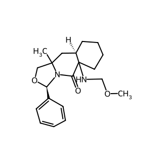 COCNC12CCCC[C@@H]1CC1(C)CO[C@H](c3ccccc3)N1C2=O